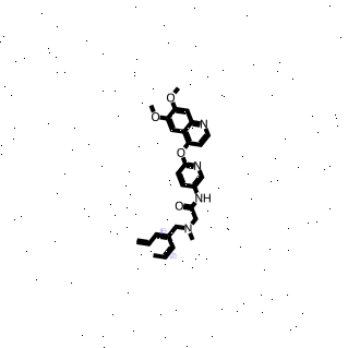 C=C/C=C(\C=C/C)CN(C)CC(=O)Nc1ccc(Oc2ccnc3cc(OC)c(OC)cc23)nc1